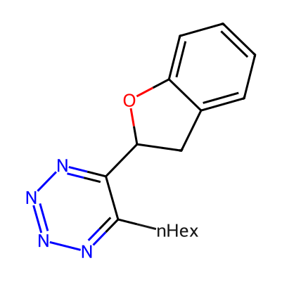 CCCCCCc1nnnnc1C1Cc2ccccc2O1